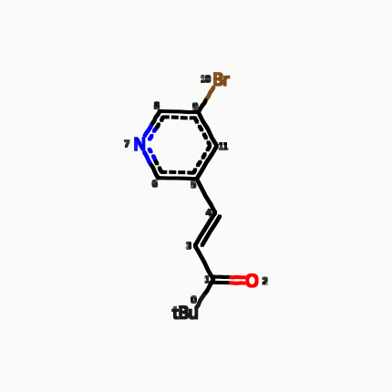 CC(C)(C)C(=O)C=Cc1cncc(Br)c1